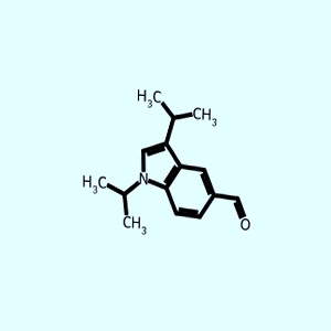 CC(C)c1cn(C(C)C)c2ccc(C=O)cc12